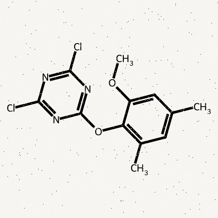 COc1cc(C)cc(C)c1Oc1nc(Cl)nc(Cl)n1